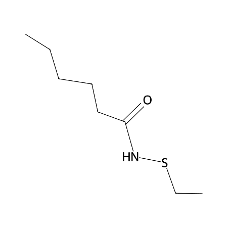 CCCCCC(=O)NSCC